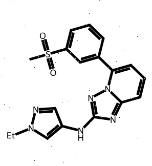 CCn1cc(Nc2nc3cccc(-c4cccc(S(C)(=O)=O)c4)n3n2)cn1